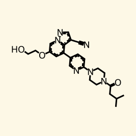 CC(C)CC(=O)N1CCN(c2ccc(-c3cc(OCCO)cn4ncc(C#N)c34)cn2)CC1